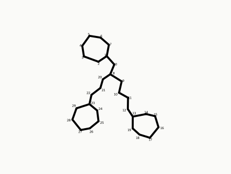 [CH](C1CCCCCC1)C(CCCCC1CCCCCC1)CCCC1CCCCCC1